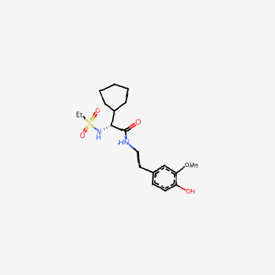 CCS(=O)(=O)N[C@@H](C(=O)NCCc1ccc(O)c(OC)c1)C1CCCCC1